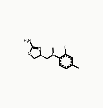 Cc1ccc(N(C)C[C@H]2COC(N)=N2)c(F)c1